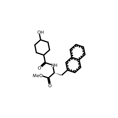 COC(=O)[C@@H](Cc1ccc2ccccc2c1)NC(=O)C1CCC(O)CC1